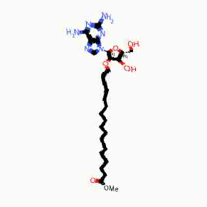 COC(=O)CCCCCCCCCCCCCCCOC1C(O)[C@@H](CO)O[C@H]1n1cnc2c(N)nc(N)nc21